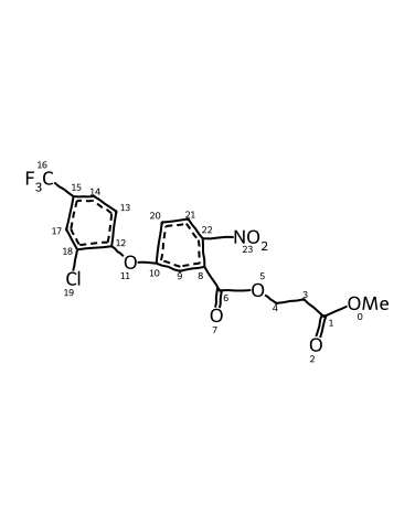 COC(=O)CCOC(=O)c1cc(Oc2ccc(C(F)(F)F)cc2Cl)ccc1[N+](=O)[O-]